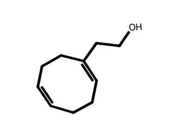 OCCC1=CCCC=CCC1